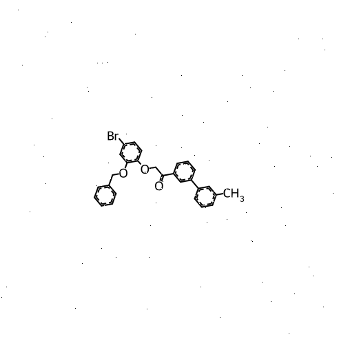 Cc1cccc(-c2cccc(C(=O)COc3ccc(Br)cc3OCc3ccccc3)c2)c1